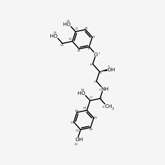 CC(NC[C@H](O)COc1ccc(O)c(CO)c1)C(O)c1ccc(O)cc1